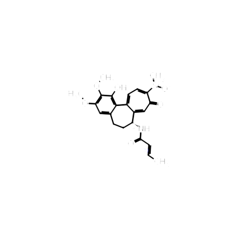 C/C=C/C(=O)N[C@H]1CCc2cc(OC)c(OC)c(O)c2-c2ccc([S+](C)[O-])c(=O)cc21